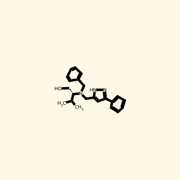 CC(C)[C@H](CO)N(Cc1ccccc1)Cc1cc(-c2ccccc2)n[nH]1